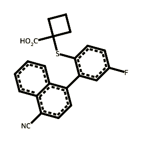 N#Cc1ccc(-c2cc(F)ccc2SC2(C(=O)O)CCC2)c2ccccc12